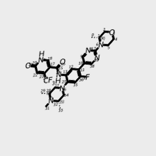 C[C@@H]1COCCN1c1ncc(-c2cc(NC(=O)c3c[nH]c(=O)cc3C(F)(F)F)c(N3C[C@@H](C)N(C)[C@@H](C)C3)cc2F)cn1